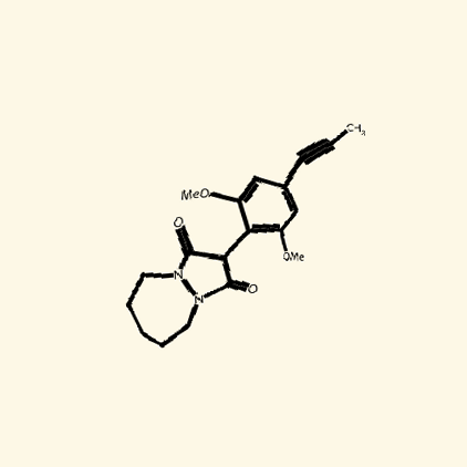 CC#Cc1cc(OC)c(C2C(=O)N3CCCCCN3C2=O)c(OC)c1